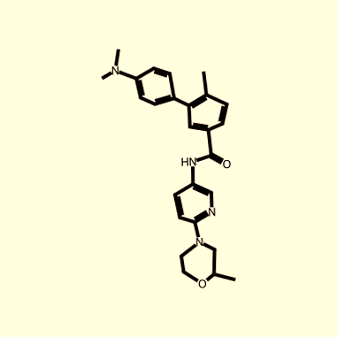 Cc1ccc(C(=O)Nc2ccc(N3CCOC(C)C3)nc2)cc1-c1ccc(N(C)C)cc1